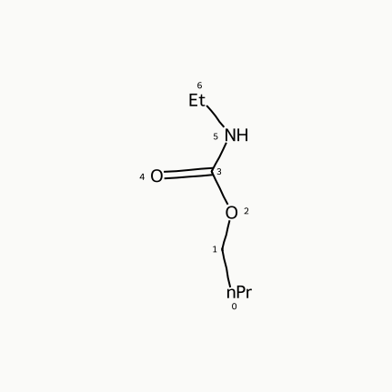 CCCCOC(=O)NCC